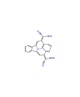 N#CC(C#N)=c1cc2c3ccccc3c3cc(=C(C#N)C#N)c4cccc1c4n23